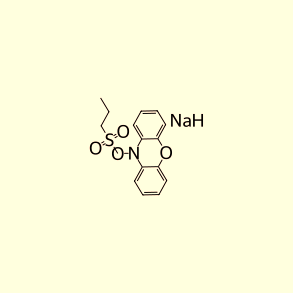 CCCS(=O)(=O)ON1c2ccccc2Oc2ccccc21.[NaH]